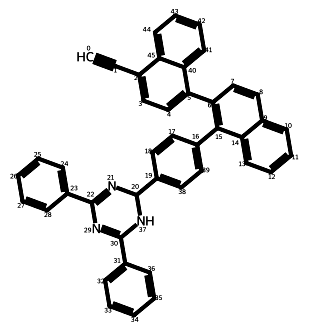 C#Cc1ccc(-c2ccc3ccccc3c2-c2ccc(C3N=C(c4ccccc4)N=C(c4ccccc4)N3)cc2)c2ccccc12